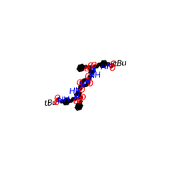 CC(C)(C)OC(=O)NCc1ccc(CCC(=O)N2CC(NC(=O)CN3CCC(=O)N(CC(=O)NC4CC(C(=O)OCc5ccccc5)N(C(=O)CCc5ccc(CNC(=O)OC(C)(C)C)cc5)C4)CCC3=O)CC2C(=O)OCc2ccccc2)cc1